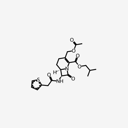 CC(=O)OCC1=C(C(=O)OCC(C)C)N2C(=O)[C@@H](NC(=O)Cc3cccs3)[C@H]2CC1